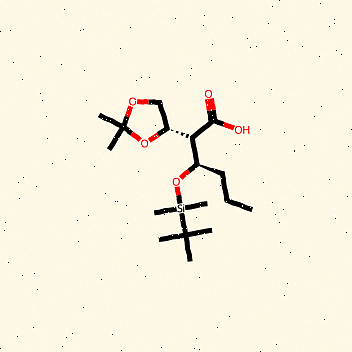 CCC[C@@H](O[Si](C)(C)C(C)(C)C)C(C(=O)O)[C@H]1COC(C)(C)O1